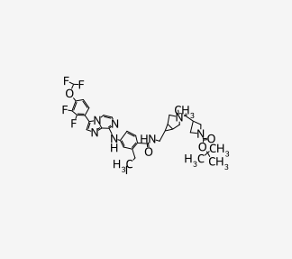 CCc1cc(Nc2nccn3c(-c4ccc(OC(F)F)c(F)c4F)cnc23)ccc1C(=O)NCC1C2C[N+](C)(CC3CN(C(=O)OC(C)(C)C)C3)CC12.[I-]